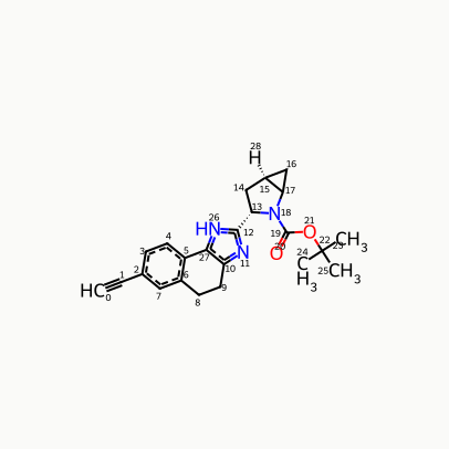 C#Cc1ccc2c(c1)CCc1nc([C@@H]3C[C@H]4CC4N3C(=O)OC(C)(C)C)[nH]c1-2